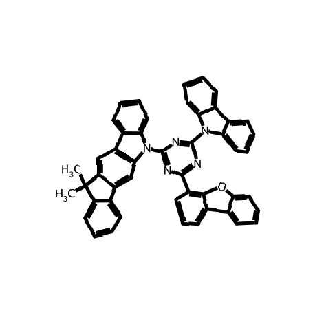 CC1(C)c2ccccc2-c2cc3c(cc21)c1ccccc1n3-c1nc(-c2cccc3c2oc2ccccc23)nc(-n2c3ccccc3c3ccccc32)n1